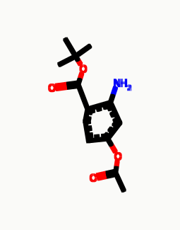 CC(=O)Oc1ccc(C(=O)OC(C)(C)C)c(N)c1